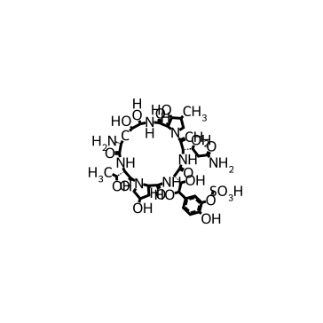 C=C1[C@H](C(O)CC(N)=O)NC(=O)[C@H](C(O)C(O)c2ccc(O)c(OS(=O)(=O)O)c2)NC(=O)[C@@H]2CC(O)CN2C(=O)[C@H](C(C)O)NC(=O)[C@H](N)C[C@@H](O)C(O)NC(=O)[C@@H]2C(O)C(C)CN12